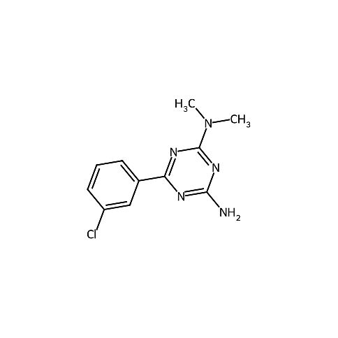 CN(C)c1nc(N)nc(-c2cccc(Cl)c2)n1